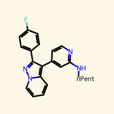 CCCCCNc1cc(-c2c(-c3ccc(F)cc3)nn3ccccc23)ccn1